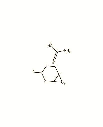 CC1CCC2OC2C1.NC(=O)O